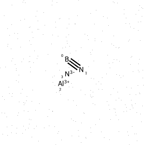 B#N.[Al+3].[N-3]